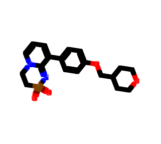 O=S1(=O)CCN2C=CC=C(c3ccc(OCC4CCOCC4)cc3)C2=N1